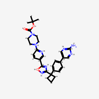 CC(C)(C)OC(=O)N1CCN(c2ccc(-c3nc(C4(c5ccc(-c6cnc(N)nc6)cc5)CCC4)no3)cn2)CC1